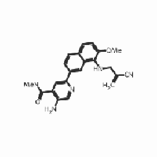 C=C(C#N)CNc1c(OC)ccc2ccc(-c3cc(C(=O)NC)c(N)cn3)cc12